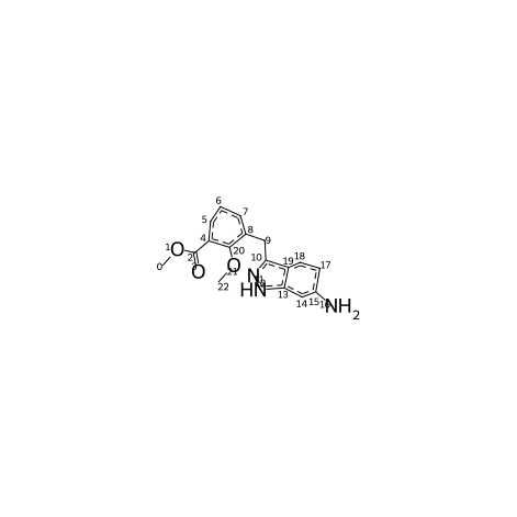 COC(=O)c1cccc(Cc2n[nH]c3cc(N)ccc23)c1OC